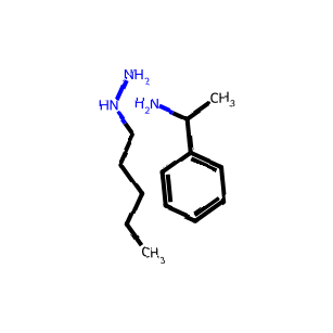 CC(N)c1ccccc1.CCCCCNN